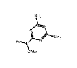 CCN(OC)c1nc(N)nc(N)n1